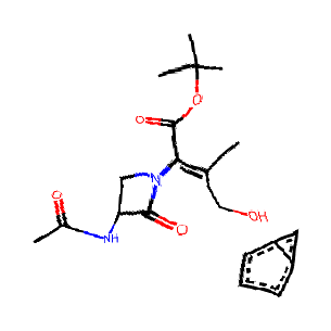 CC(=O)NC1CN(C(C(=O)OC(C)(C)C)=C(C)CO)C1=O.c1cc2cc-2c1